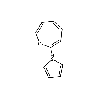 C1=COC([SH]2C=CC=C2)=CN=C1